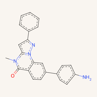 Cn1c(=O)c2ccc(-c3ccc(N)cc3)cc2n2nc(-c3ccccc3)cc12